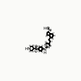 O=S(=O)(c1ccc(Nc2ncc(C=Cc3cccc4c3CCC4=NO)cn2)cc1)C1CCNCC1